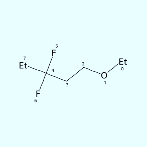 CCOCCC(F)(F)CC